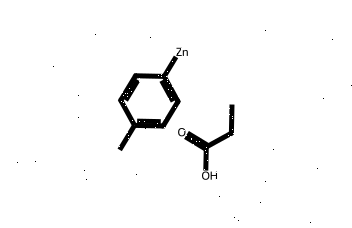 CCC(=O)O.Cc1cc[c]([Zn])cc1